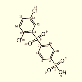 O=S(=O)(O)c1ccc(S(=O)(=O)c2cc(Cl)ccc2Cl)cc1